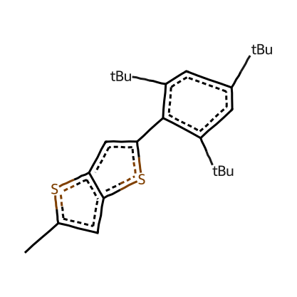 Cc1cc2sc(-c3c(C(C)(C)C)cc(C(C)(C)C)cc3C(C)(C)C)cc2s1